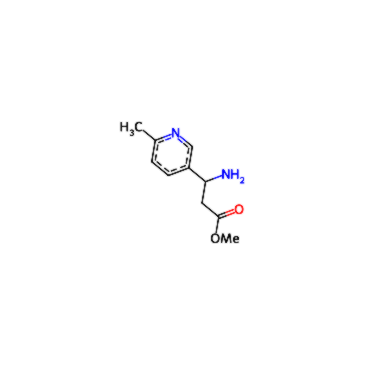 COC(=O)CC(N)c1ccc(C)nc1